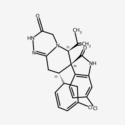 C=C(C)[C@@H]1N2CC(=O)NN=C2C[C@@H](C2C=CC=C(Cl)C2)[C@]12C(=O)Nc1cc(Cl)ccc12